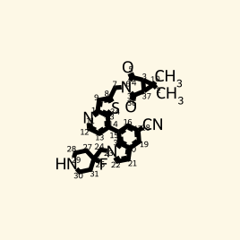 CC1(C)C2C(=O)N(Cc3cc4nccc(-c5cc(C#N)cc6ccn(CC7(F)CCNCC7)c56)c4s3)C(=O)C21